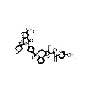 Cc1ccc(NC(=O)c2sc3c(c2F)CCN(C(=O)c2ccc(NC(=O)c4cc(C)cnc4N4CC5(CCOCC5)C4)cc2)c2ccccc2-3)nc1